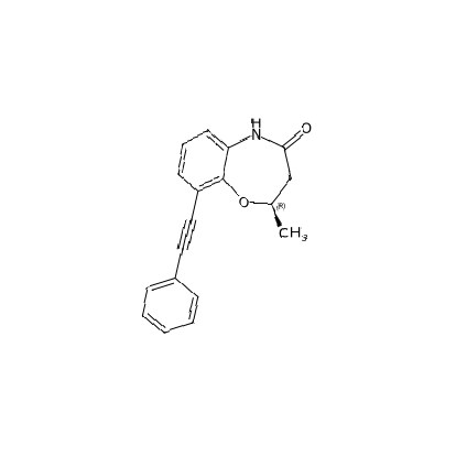 C[C@@H]1CC(=O)Nc2cccc(C#Cc3ccccc3)c2O1